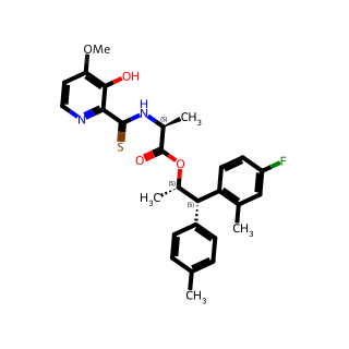 COc1ccnc(C(=S)N[C@@H](C)C(=O)O[C@@H](C)[C@@H](c2ccc(C)cc2)c2ccc(F)cc2C)c1O